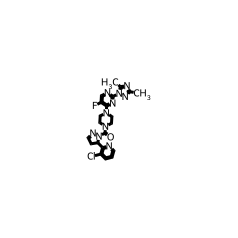 Cc1nc(C)n(-c2ncc(F)c(N3CCN(C(=O)N4N=CCC4c4ncccc4Cl)CC3)n2)n1